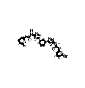 Cc1cccc(CC(=O)Nc2nnc([C@H]3CCC[C@H](c4nnc(NC(=O)Cc5cccc(Br)n5)s4)C3)s2)n1